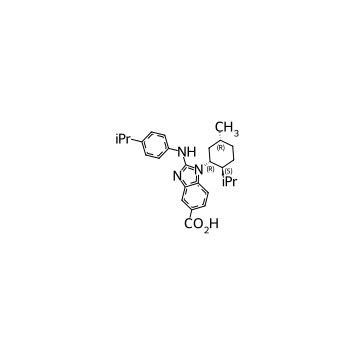 CC(C)c1ccc(Nc2nc3cc(C(=O)O)ccc3n2[C@@H]2C[C@H](C)CC[C@H]2C(C)C)cc1